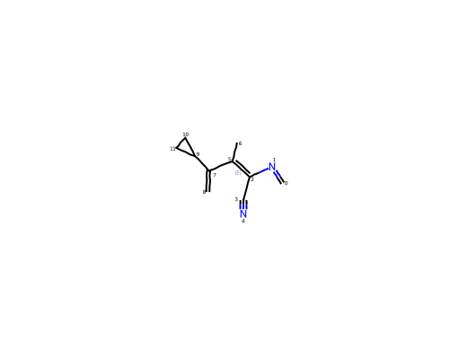 C=N/C(C#N)=C(\C)C(=C)C1CC1